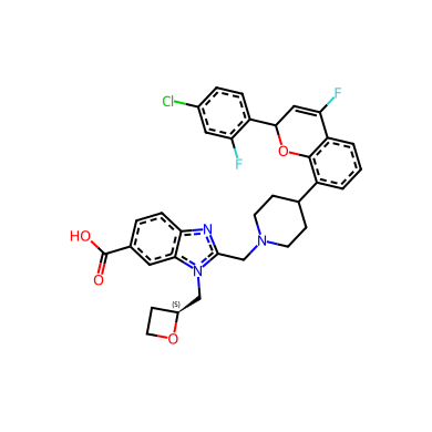 O=C(O)c1ccc2nc(CN3CCC(c4cccc5c4OC(c4ccc(Cl)cc4F)C=C5F)CC3)n(C[C@@H]3CCO3)c2c1